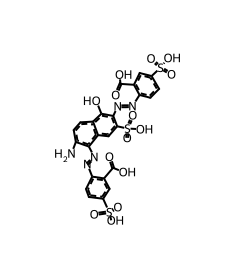 Nc1ccc2c(O)c(N=Nc3ccc(S(=O)(=O)O)cc3C(=O)O)c(S(=O)(=O)O)cc2c1/N=N/c1ccc(S(=O)(=O)O)cc1C(=O)O